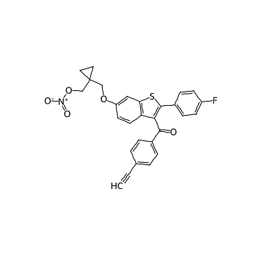 C#Cc1ccc(C(=O)c2c(-c3ccc(F)cc3)sc3cc(OCC4(CO[N+](=O)[O-])CC4)ccc23)cc1